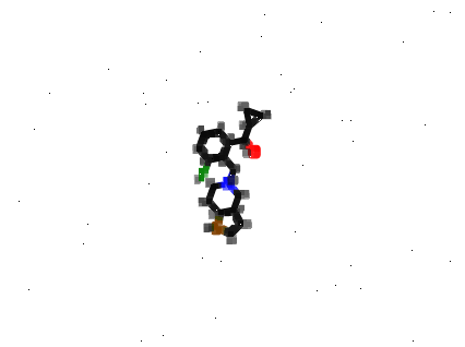 O=C(c1cccc(F)c1CN1CCc2sccc2C1)C1CC1